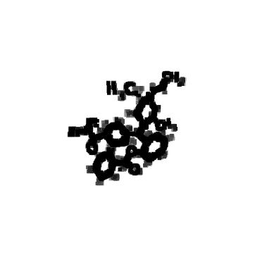 C=CCN1C[C@@H](C)N([C@H](c2ccc(C(=O)N(CC)CC)cc2)c2ccccc2OC(=O)c2ccccc2)C[C@@H]1C